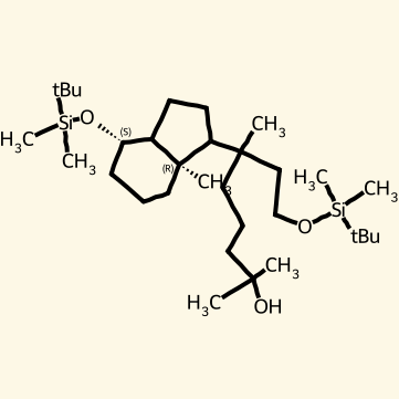 CC(C)(O)CCCC(C)(CCO[Si](C)(C)C(C)(C)C)C1CCC2[C@@H](O[Si](C)(C)C(C)(C)C)CCC[C@@]21C